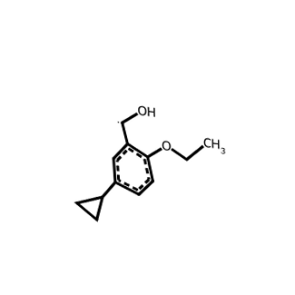 CCOc1ccc(C2CC2)cc1[CH]O